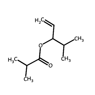 C=CC(OC(=O)C(C)C)C(C)C